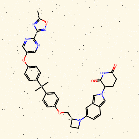 Cc1nc(-c2ncc(Oc3ccc(C(C)(C)c4ccc(OC[C@@H]5CCN5c5ccc6cn(C7CCC(=O)NC7=O)cc6c5)cc4)cc3)cn2)no1